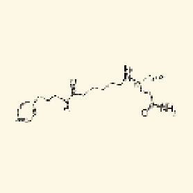 NC(=O)CC[C@@H]([C]=O)NCCCCCC(=O)NCCCc1ccccc1